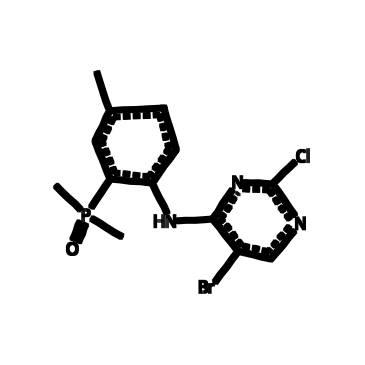 Cc1ccc(Nc2nc(Cl)ncc2Br)c(P(C)(C)=O)c1